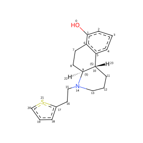 Oc1cccc2c1CC[C@H]1[C@H]2CCCN1CCc1cccs1